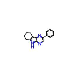 c1ccc(-c2cnc3[nH]c4c(c3n2)CCCC4)cc1